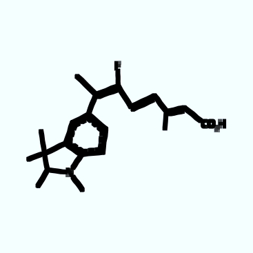 CC(/C=C/C(F)=C(/C)c1ccc2c(c1)C(C)(C)C(C)N2C)=C\C(=O)O